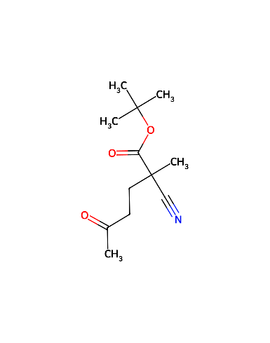 CC(=O)CCC(C)(C#N)C(=O)OC(C)(C)C